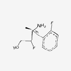 C[C@@](N)(c1ccccc1F)C(F)CO